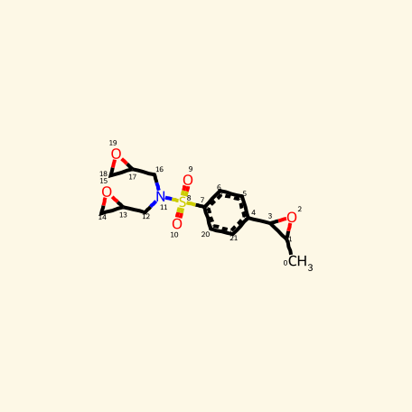 CC1OC1c1ccc(S(=O)(=O)N(CC2CO2)CC2CO2)cc1